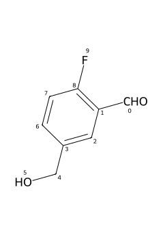 O=Cc1cc(CO)ccc1F